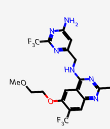 COCCOc1cc2c(NCc3cc(N)nc(C(F)(F)F)n3)nc(C)nc2cc1C(F)(F)F